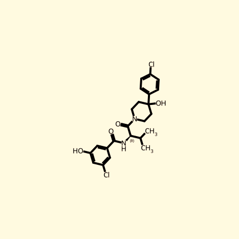 CC(C)[C@@H](NC(=O)c1cc(O)cc(Cl)c1)C(=O)N1CCC(O)(c2ccc(Cl)cc2)CC1